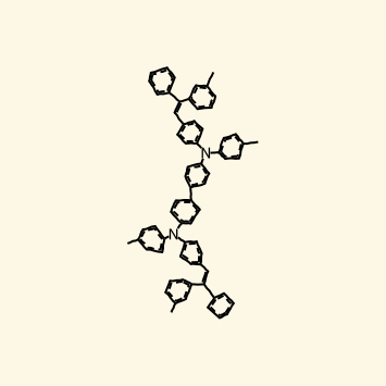 Cc1ccc(N(c2ccc(C=C(c3ccccc3)c3cccc(C)c3)cc2)c2ccc(-c3ccc(N(c4ccc(C)cc4)c4ccc(C=C(c5ccccc5)c5cccc(C)c5)cc4)cc3)cc2)cc1